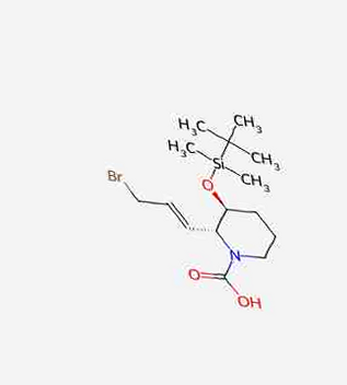 CC(C)(C)[Si](C)(C)O[C@H]1CCCN(C(=O)O)[C@@H]1/C=C/CBr